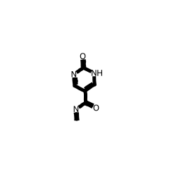 C=NC(=O)c1cnc(=O)[nH]c1